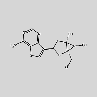 Nc1ncnc2c([C@H]3C[C@@]4(O)C(O)[C@@]4(CCl)O3)csc12